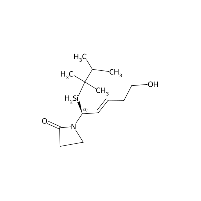 CC(C)C(C)(C)[SiH2][C@@H](C=CCCO)N1CCC1=O